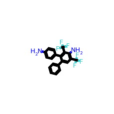 Nc1ccc(-c2c(-c3ccccc3)cc(C(F)(F)F)c(N)c2C(F)(F)F)cc1